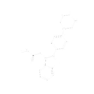 O=C(CC1c2ccccc2SN1c1ccc(N2CCOCC2)cc1)NO